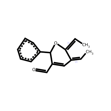 C/C=C1/C=C(C=O)C(c2ccccc2)O/C1=C/C